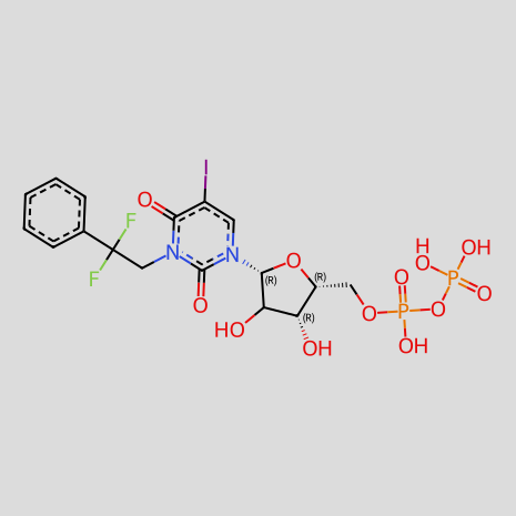 O=c1c(I)cn([C@@H]2O[C@H](COP(=O)(O)OP(=O)(O)O)[C@H](O)C2O)c(=O)n1CC(F)(F)c1ccccc1